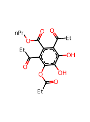 CCCOC(=O)c1c(C(=O)CC)c(O)c(O)c(OC(=O)CC)c1C(=O)CC